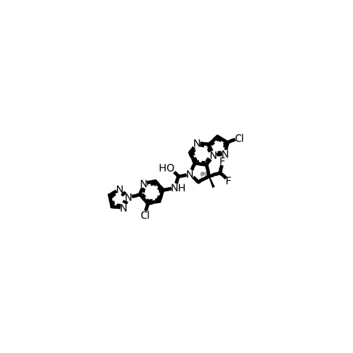 C[C@@]1(C(F)F)CN(C(O)Nc2cnc(-n3nccn3)c(Cl)c2)c2cnc3cc(Cl)nn3c21